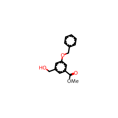 COC(=O)c1cc(CO)cc(OCc2ccccc2)c1